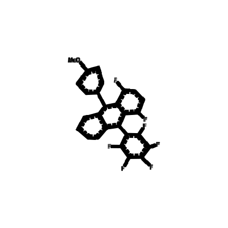 COc1ccc(-c2c3ccccc3c(-c3c(F)c(F)c(F)c(F)c3F)c3c(F)ccc(F)c23)cc1